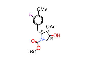 COc1ccc(C[C@@H]2[C@H](OC(C)=O)[C@@H](O)CN2C(=O)OC(C)(C)C)cc1I